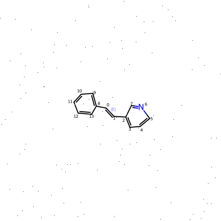 C(=C\c1cccnc1)/c1ccccc1